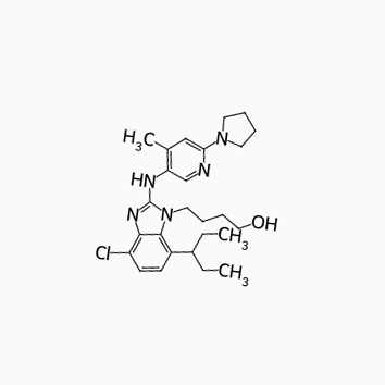 CCC(CC)c1ccc(Cl)c2nc(Nc3cnc(N4CCCC4)cc3C)n(CCCCO)c12